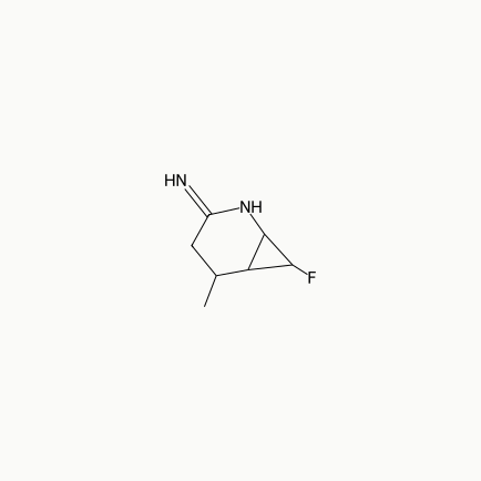 CC1CC(=N)NC2C(F)C12